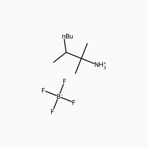 CCCCC(C)C(C)(C)[NH3+].F[B-](F)(F)F